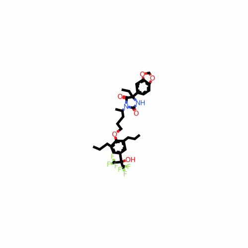 CCCc1cc(C(O)(C(F)(F)F)C(F)(F)F)cc(CCC)c1OCCCC(C)N1C(=O)NC(CC)(c2ccc3c(c2)OCO3)C1=O